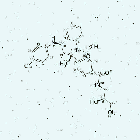 CC(=O)N1c2ccccc2[C@H](Nc2ccc(Cl)cc2)C[C@@]1(C)c1ccc(C(=O)NC[C@H](O)CO)cc1